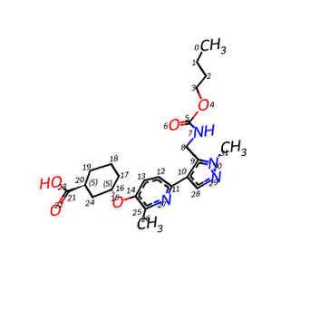 CCCCOC(=O)NCc1c(-c2ccc(O[C@H]3CCC[C@H](C(=O)O)C3)c(C)n2)cnn1C